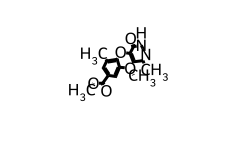 COC(=O)c1cc(C)c(Oc2cc(C)n[nH]c2=O)c(OC)c1